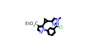 CCOC(=O)c1cnn(-c2cccc(CCl)c2)c1C1CC1c1cn(C)nn1